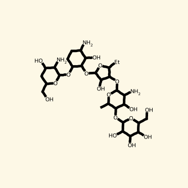 CCC1OC(OC2C(OC3OC(CO)CC(O)C3N)CCC(N)C2O)C(O)C1OC1OC(C)C(OC2OC(CO)C(O)C(O)C2O)C(O)C1N